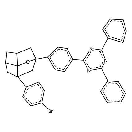 Brc1ccc(C23CC4CC5CC(c6ccc(-c7nc(-c8ccccc8)nc(-c8ccccc8)n7)cc6)(C2)CC543)cc1